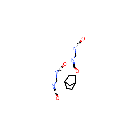 C1CC2CCC1C2.O=C=NCN=C=O.O=C=NCN=C=O